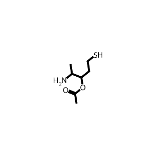 CC(=O)OC(CCS)C(C)N